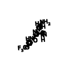 N[C@H]1[C@H]2CN(c3ncc(C(=O)Nc4ccc(OC(F)(F)F)cc4)cc3-c3ccn[nH]3)C[C@@H]12